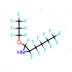 FC(F)(F)C(F)(F)C(F)(F)OC1(F)NC1(F)C(F)(F)C(F)(F)C(F)(F)C(F)(F)F